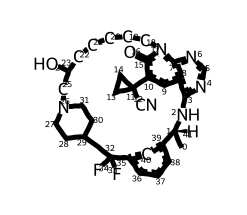 C[C@H]1Nc2ncnc3c2cc(C2(C#N)CC2)c(=O)n3CCCCCC(O)CN2CCC(CC2)C(F)(F)c2cccc1c2